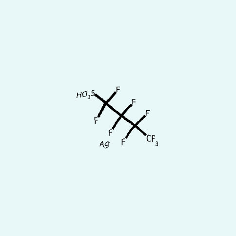 O=S(=O)(O)C(F)(F)C(F)(F)C(F)(F)C(F)(F)F.[Ag]